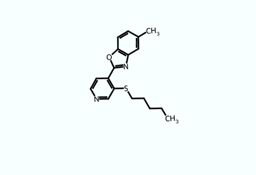 CCCCCSc1cnccc1-c1nc2cc(C)ccc2o1